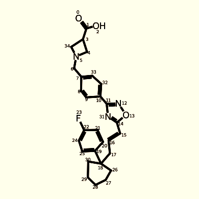 O=C(O)C1CN(Cc2ccc(-c3noc(C=CCC4(c5ccc(F)cc5)CCCCC4)n3)cc2)C1